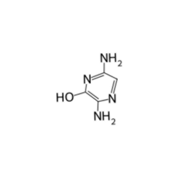 Nc1cnc(N)c(O)n1